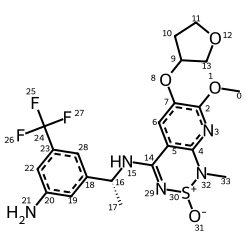 COc1nc2c(cc1OC1CCOC1)C(N[C@H](C)c1cc(N)cc(C(F)(F)F)c1)=N[S+]([O-])N2C